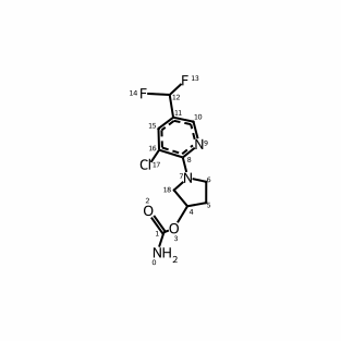 NC(=O)OC1CCN(c2ncc(C(F)F)cc2Cl)C1